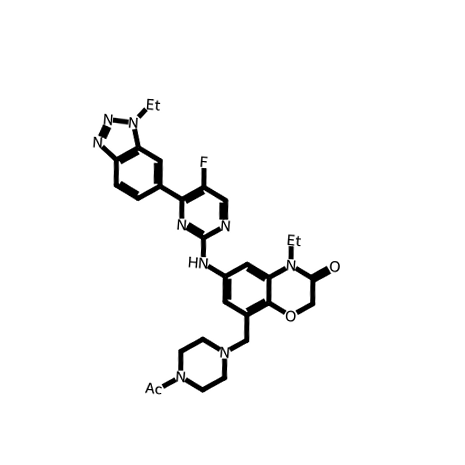 CCN1C(=O)COc2c(CN3CCN(C(C)=O)CC3)cc(Nc3ncc(F)c(-c4ccc5nnn(CC)c5c4)n3)cc21